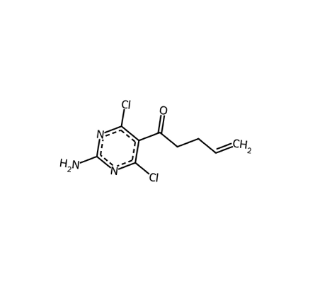 C=CCCC(=O)c1c(Cl)nc(N)nc1Cl